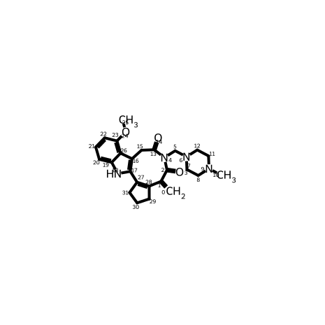 C=C1C(=O)N(CN2CCN(C)CC2)C(=O)Cc2c([nH]c3cccc(OC)c23)C2=C1CCC2